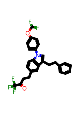 O=C(CCc1ccc2c(c1)c(CCc1ccccc1)cn2-c1ccc(OC(F)F)cc1)C(F)(F)F